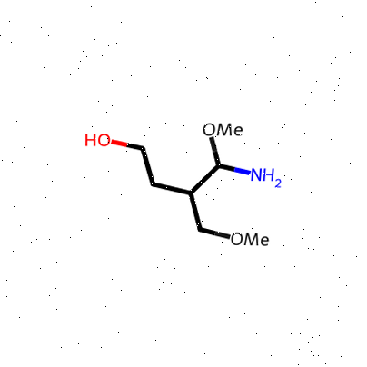 COCC(CCO)C(N)OC